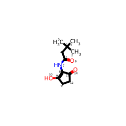 CC(C)(C)CC(=O)NC1=C(O)CCC1=O